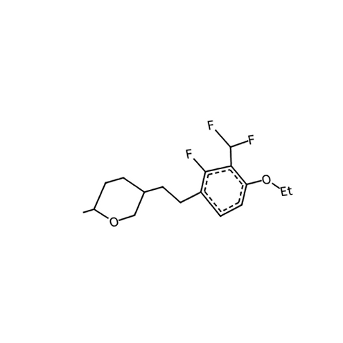 CCOc1ccc(CCC2CCC(C)OC2)c(F)c1C(F)F